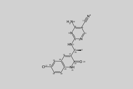 C[C@H](Nc1ncc(C#N)c(N)n1)c1cc2cc(Cl)ccc2[nH]c1=O